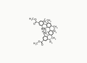 COC(=O)c1cc(C)c(-c2c(C)cc(C)c(-c3c(C)cc(C)c(-c4c(C)cc(C(=O)OC)cc4C)c3C)c2C)c(C)c1